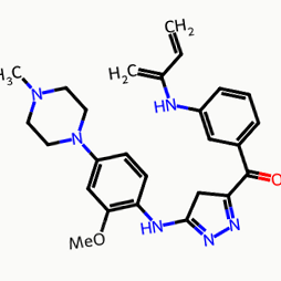 C=CC(=C)Nc1cccc(C(=O)C2=NN=C(Nc3ccc(N4CCN(C)CC4)cc3OC)C2)c1